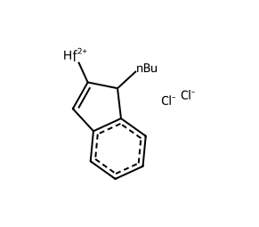 CCCCC1[C]([Hf+2])=Cc2ccccc21.[Cl-].[Cl-]